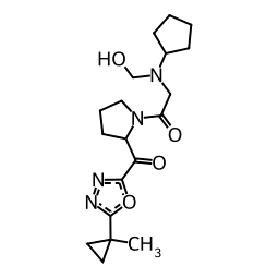 CC1(c2nnc(C(=O)C3CCCN3C(=O)CN(CO)C3CCCC3)o2)CC1